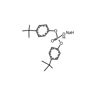 CC(C)(C)c1ccc(OP(=O)(O)Oc2ccc(C(C)(C)C)cc2)cc1.[NaH]